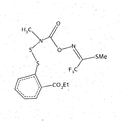 CCOC(=O)c1ccccc1SSN(C)C(=O)ON=C(SC)C(F)(F)F